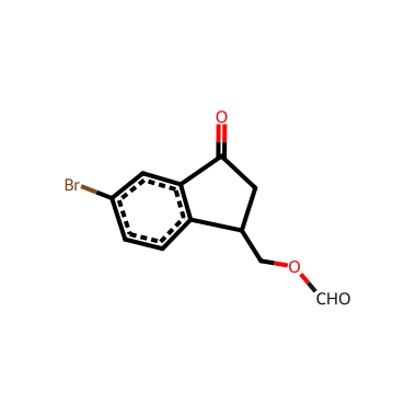 O=COCC1CC(=O)c2cc(Br)ccc21